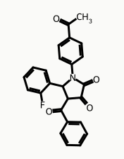 CC(=O)c1ccc(N2C(=O)C(=O)C(C(=O)c3ccccc3)C2c2ccccc2F)cc1